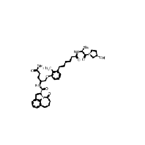 Cc1c(CCCCCC(=O)N[C@H](C(=O)N2CC[C@@H](O)C2)C(C)(C)C)cccc1OC[C@H](CCC(N)=O)NC(=O)[C@@H]1Cc2cccc3c2N1C(=O)CCC3